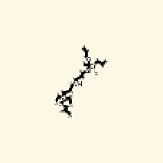 CCCOC(C)(OCCC)[SiH2]CCCNCCC[Si](CC)(CC)OCCC